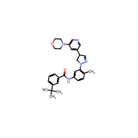 Cc1ccc(NC(=O)c2cccc(C(C)(C)C#N)c2)cc1N1CC(c2cncc(N3CCOCC3)c2)C=N1